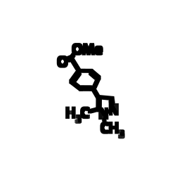 COC(=O)c1ccc(-c2cnn(C)c2C)cc1